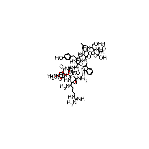 CC(C)C[C@H](NC(=O)[C@H](Cc1c[nH]c2ccccc12)NC(=O)[C@H](Cc1ccc(O)cc1)NC(=O)[C@H](CO)NC(=O)[C@H](Cc1ccc(O)cc1)NC(=O)[C@H](CC(N)=O)NC(=O)[C@H](CC(N)=O)NC(=O)[C@@H](N)CCCNC(=N)N)C(=O)N[C@@H](CO)C(=O)N[C@H](C(=O)O)[C@@H](C)O